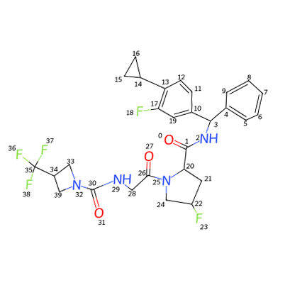 O=C(NC(c1ccccc1)c1ccc(C2CC2)c(F)c1)C1CC(F)CN1C(=O)CNC(=O)N1CC(C(F)(F)F)C1